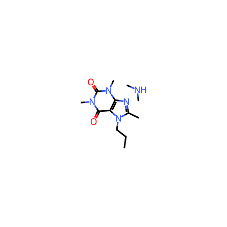 CCCn1c(C)nc2c1c(=O)n(C)c(=O)n2C.CNC